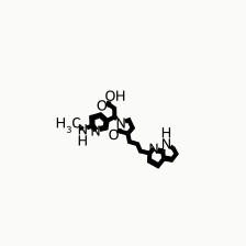 CNc1ccc(C(CC(=O)O)N2CCC(CCCC3C=CC4=CCCNC4=N3)C2=O)cn1